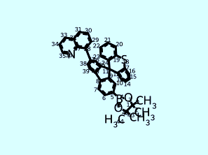 CC1(C)OB(c2ccc3c(c2)C2(c4ccccc4Sc4ccccc42)c2cc(-c4cccc5cccnc45)ccc2-3)OC1(C)C